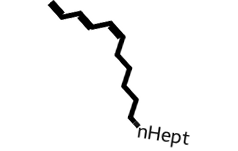 C=CC=C/C=C\CCCCCCCCCCCC